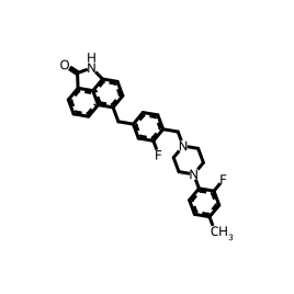 Cc1ccc(N2CCN(Cc3ccc(Cc4ccc5c6c(cccc46)C(=O)N5)cc3F)CC2)c(F)c1